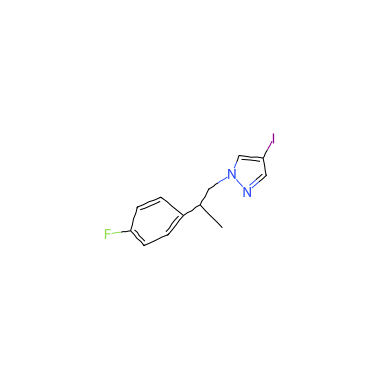 CC(Cn1cc(I)cn1)c1ccc(F)cc1